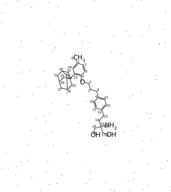 Cc1ccc(OCCCc2ccc(CCC(N)(CO)CO)cc2)c(C23CC4CC(CC(C4)C2)C3)c1